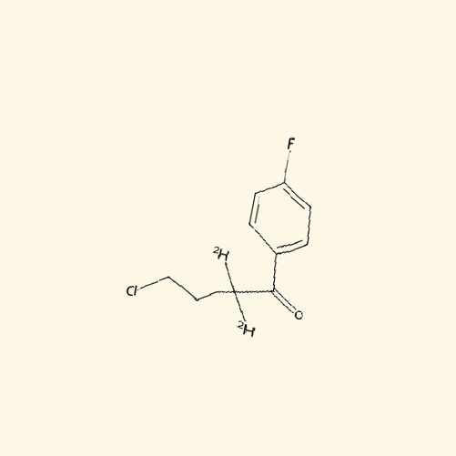 [2H]C([2H])(CCCl)C(=O)c1ccc(F)cc1